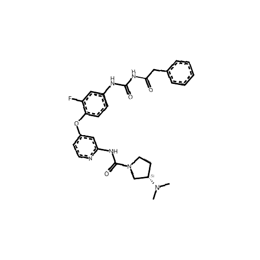 CN(C)[C@H]1CCN(C(=O)Nc2cc(Oc3ccc(NC(=O)NC(=O)Cc4ccccc4)cc3F)ccn2)C1